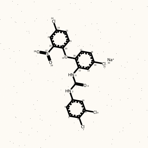 O=C(Nc1ccc(Cl)c(Cl)c1)Nc1cc(Cl)ccc1Oc1ccc(Cl)cc1[S-](=O)=O.[Na+]